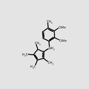 COc1c(C)ccc([SiH2]C2=C(C)C(C)=C(C)C2C)c1OC